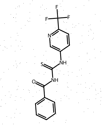 O=C(NC(=S)Nc1ccc(C(F)(F)F)nc1)c1ccccc1